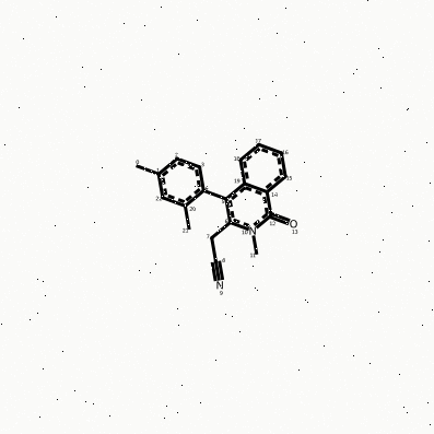 Cc1ccc(-c2c(CC#N)n(C)c(=O)c3ccccc23)c(C)c1